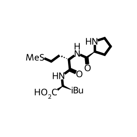 CC[C@H](C)[C@H](NC(=O)[C@H](CCSC)NC(=O)[C@@H]1CCCN1)C(=O)O